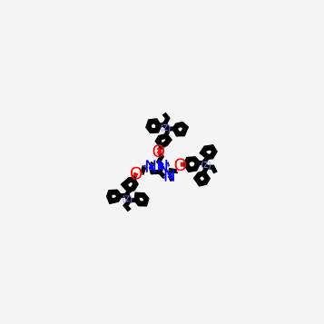 CC/C(=C(\c1ccccc1)c1ccc(OCCN(C)CC(CN(C)CCOc2ccc(/C(=C(/CC)c3ccccc3)c3ccccc3)cc2)N(C)CCOc2ccc(/C(=C(/CC)c3ccccc3)c3ccccc3)cc2)cc1)c1ccccc1